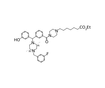 CCOC(=O)CCCCCCN1CCN(C(=O)c2cccc(C(c3cccc(O)c3)N3C[C@@H](C)N(Cc4cccc(F)c4)C[C@H]3C)c2)CC1